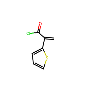 C=C(C(=O)Cl)c1cccs1